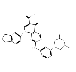 CC1CN(c2cccc(Nc3ncc4c(=O)c(C(=O)O)cn(-c5ccc6c(c5)CCC6)c4n3)c2)CC(C)N1